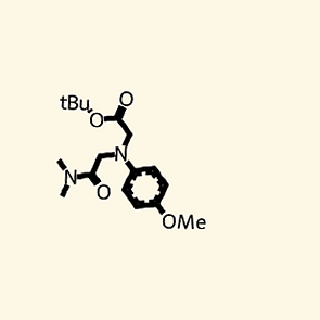 COc1ccc(N(CC(=O)OC(C)(C)C)CC(=O)N(C)C)cc1